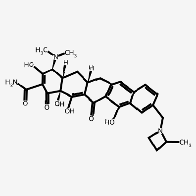 CC1CCN1Cc1ccc2cc3c(c(O)c2c1)C(=O)C1=C(O)[C@]2(O)C(=O)C(C(N)=O)=C(O)[C@@H](N(C)C)[C@@H]2C[C@@H]1C3